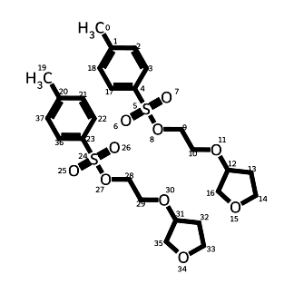 Cc1ccc(S(=O)(=O)OCCOC2CCOC2)cc1.Cc1ccc(S(=O)(=O)OCCOC2CCOC2)cc1